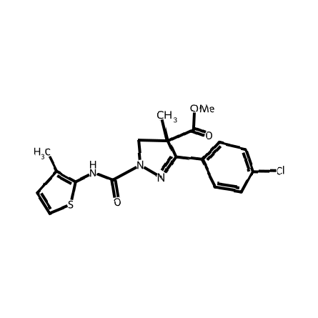 COC(=O)C1(C)CN(C(=O)Nc2sccc2C)N=C1c1ccc(Cl)cc1